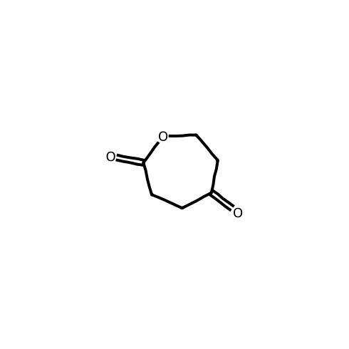 O=C1CCOC(=O)CC1